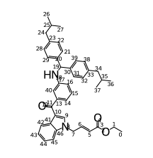 CCOC(=O)C=CCn1cc(C(=O)c2cccc(NC(c3ccc(CC(C)C)cc3)c3ccc(CC(C)C)cc3)c2)c2ccccc21